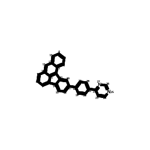 c1ccc2c3c4c(cccc4cc2c1)-c1ccc(-c2ccc(-c4ccncn4)cc2)cc1-3